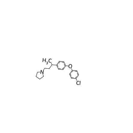 CC(CCN1CCCC1)c1ccc(Oc2ccc(Cl)cc2)cc1